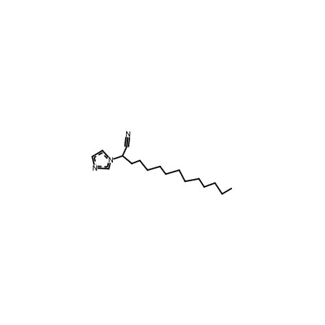 CCCCCCCCCCCCC(C#N)n1ccnc1